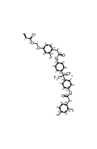 C=CC(=O)OCOc1ccc(CC(=O)Oc2ccc(C(c3ccc(OC(=O)Cc4ccc(C)cc4C)cc3)(C(F)(F)F)C(F)(F)F)cc2)c(C)c1